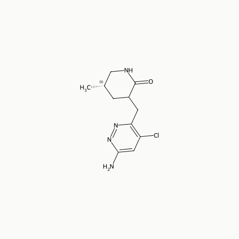 C[C@@H]1CNC(=O)C(Cc2nnc(N)cc2Cl)C1